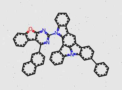 c1ccc(-c2ccc3c4cc5c6ccccc6n(-c6nc(-c7ccc8ccccc8c7)c7c(n6)oc6ccccc67)c5c5c6ccccc6n(c3c2)c45)cc1